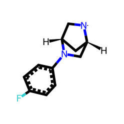 Fc1ccc(N2C[C@@H]3C[C@H]2C[N]3)cc1